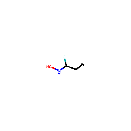 CCCC(F)NO